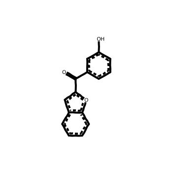 O=C(c1cccc(O)c1)c1cc2ccccc2o1